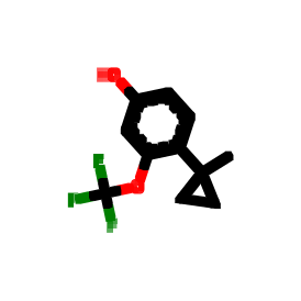 CC1(c2ccc(O)cc2OC(F)(F)F)CC1